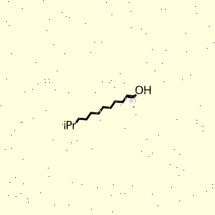 CC(C)CCCCCCCC/C=C/O